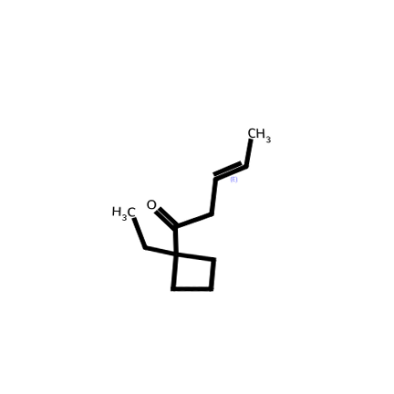 C/C=C/CC(=O)C1(CC)CCC1